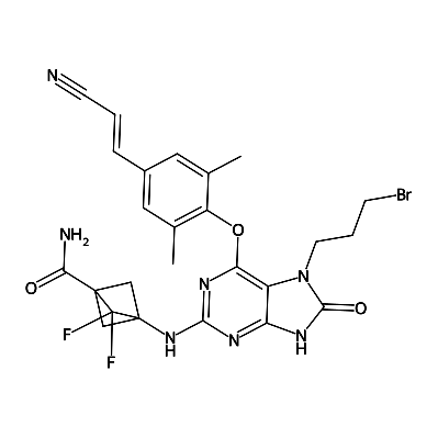 Cc1cc(/C=C/C#N)cc(C)c1Oc1nc(NC23CC(C(N)=O)(C2)C3(F)F)nc2[nH]c(=O)n(CCCBr)c12